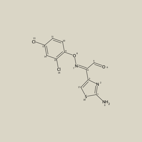 Nc1nc(/C([C]=O)=N/Oc2ccc(Cl)cc2Cl)cs1